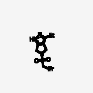 CCc1n[nH]c2c1CN(S(=O)(=O)CC(C)C)C2